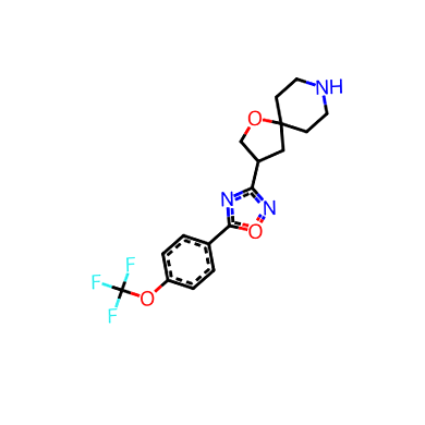 FC(F)(F)Oc1ccc(-c2nc(C3COC4(CCNCC4)C3)no2)cc1